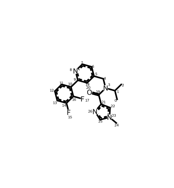 CC(C)N(Cc1ccnc(-c2cccc(F)c2F)c1)C(=O)c1cn(C)cn1